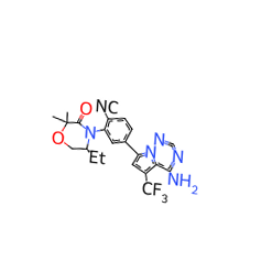 CC[C@H]1COC(C)(C)C(=O)N1c1cc(-c2cc(C(F)(F)F)c3c(N)ncnn23)ccc1C#N